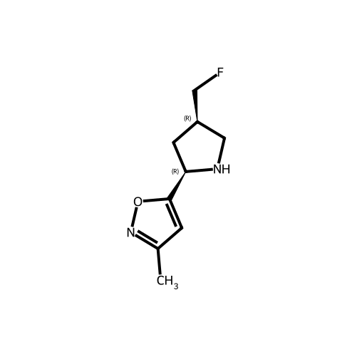 Cc1cc([C@H]2C[C@@H](CF)CN2)on1